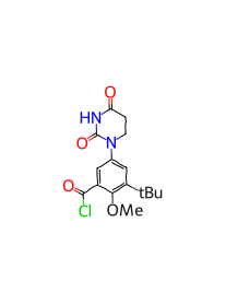 COc1c(C(=O)Cl)cc(N2CCC(=O)NC2=O)cc1C(C)(C)C